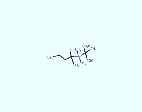 CCCCCCCCCCCCC(C)(C)[N+](C)(C)C(C)(C(=O)[O-])C(=O)O